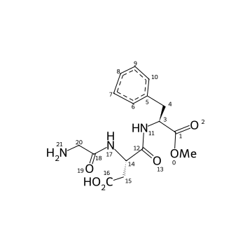 COC(=O)[C@H](Cc1ccccc1)NC(=O)[C@H](CC(=O)O)NC(=O)CN